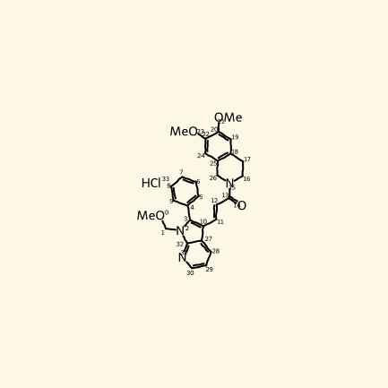 COCn1c(-c2ccccc2)c(C=CC(=O)N2CCc3cc(OC)c(OC)cc3C2)c2cccnc21.Cl